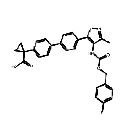 Cc1nsc(-c2ccc(-c3ccc(C4(C(=O)O)CC4)cc3)cc2)c1NC(=O)OCc1ccc(F)cc1